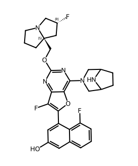 Oc1cc(-c2oc3c(N4CC5CCC(C4)N5)nc(OC[C@@]45CCCN4C[C@H](F)C5)nc3c2F)c2c(F)cccc2c1